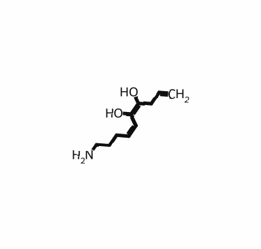 C=CC/C(O)=C(O)\C=C/CCCN